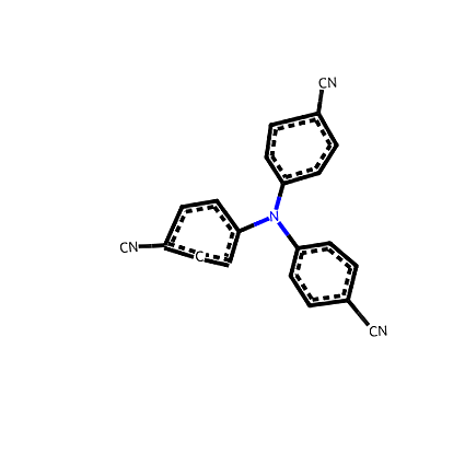 [C-]#[N+]c1ccc(N(c2ccc(C#N)cc2)c2ccc(C#N)cc2)cc1